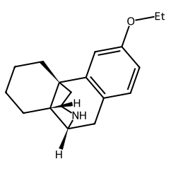 CCOc1ccc2c(c1)[C@@]13CCCC[C@H]1[C@@H](C2)NCC3